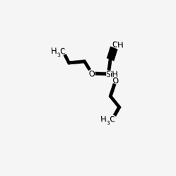 C#C[SiH](OCCC)OCCC